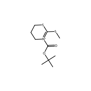 CSC1=[N+](C(=O)OC(C)(C)C)CCCS1